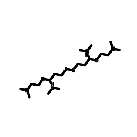 CN(C)CCOC(CCSSCCC(OCCN(C)C)[SiH](C)C)[SiH](C)C